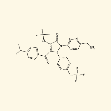 CC(C)c1ccc(C(=O)C2=C(OC(C)(C)C)C(=O)N(c3ccc(CN)nn3)C2c2ccc(CC(F)(F)F)cc2)cc1